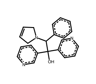 OC(c1cccnc1)(c1cccnc1)C(c1ccccc1)N1CC=CC1